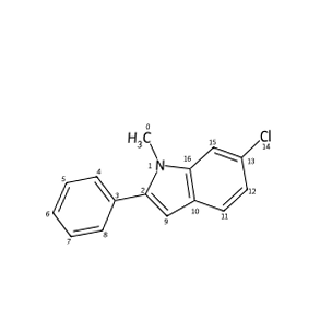 Cn1c(-c2ccccc2)cc2ccc(Cl)cc21